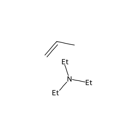 C=CC.CCN(CC)CC